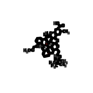 COCOc1cccc(-c2nc3c(cc2F)c(N2C[C@@H](C)N(C(=O)O)C[C@@H]2C)nc(=O)n3-c2c(CCCO[Si](C)(C)C(C)(C)C)ccnc2C(C)C)c1OCc1ccccc1